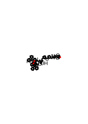 CC(Cc1cccc(Oc2cccc(Cn3cc(B4OC(C)(C)C(C)(C)O4)cn3)c2)c1)N(CC=C(I)c1cc(NC(c2ccccc2)(c2ccccc2)c2ccccc2)nc2c1nnn2C(c1ccccc1)(c1ccccc1)c1ccccc1)C(=O)O